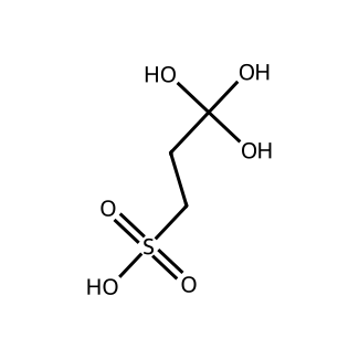 O=S(=O)(O)CCC(O)(O)O